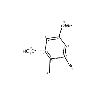 COc1cc(Br)c(C)c(C(=O)O)c1